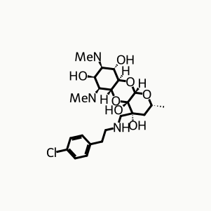 CN[C@@H]1[C@H](O)[C@H](NC)[C@H]2O[C@]3(O)[C@H](O[C@@H]2[C@H]1O)O[C@H](C)C[C@@]3(O)CNCCc1ccc(Cl)cc1